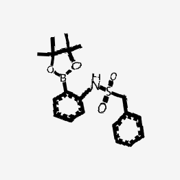 CC1(C)OB(c2ccccc2NS(=O)(=O)Cc2ccccc2)OC1(C)C